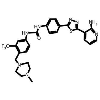 CN1CCN(Cc2ccc(NC(=O)Nc3ccc(-c4nnc(-c5cccnc5N)s4)cc3)cc2C(F)(F)F)CC1